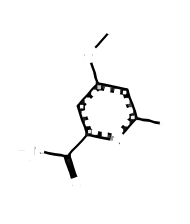 COc1cc(Cl)nc(C(N)=O)c1